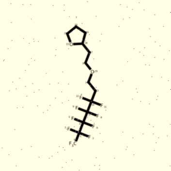 FC(F)(F)C(F)(F)C(F)(F)C(F)(F)C(F)(F)CCOCCC1CCCO1